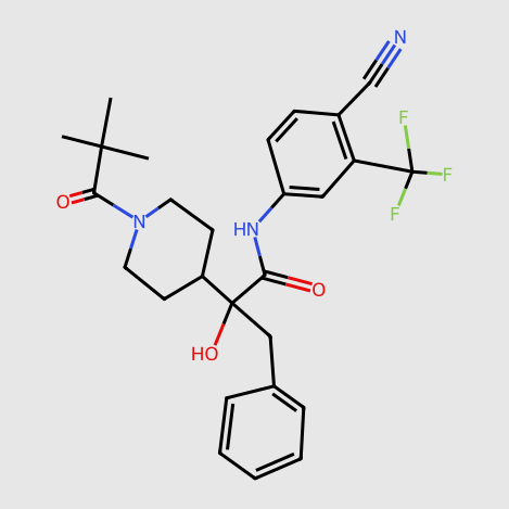 CC(C)(C)C(=O)N1CCC(C(O)(Cc2ccccc2)C(=O)Nc2ccc(C#N)c(C(F)(F)F)c2)CC1